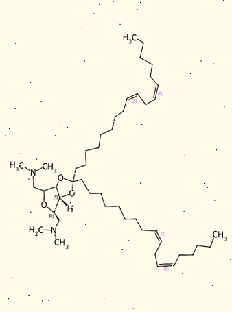 CCCCC/C=C\C/C=C\CCCCCCCCC1(CCCCCCCC/C=C\C/C=C\CCCCC)OC2C(CN(C)C)O[C@H](CN(C)C)[C@H]2O1